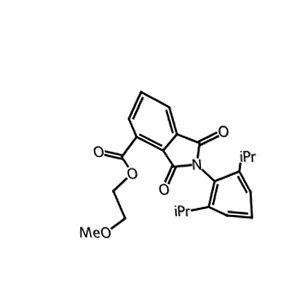 COCCOC(=O)c1cccc2c1C(=O)N(c1c(C(C)C)cccc1C(C)C)C2=O